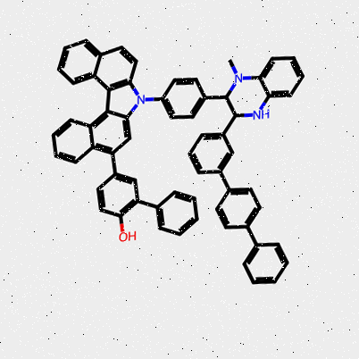 CN1c2ccccc2NC(c2cccc(-c3ccc(-c4ccccc4)cc3)c2)C1c1ccc(-n2c3ccc4ccccc4c3c3c4ccccc4c(-c4ccc(O)c(-c5ccccc5)c4)cc32)cc1